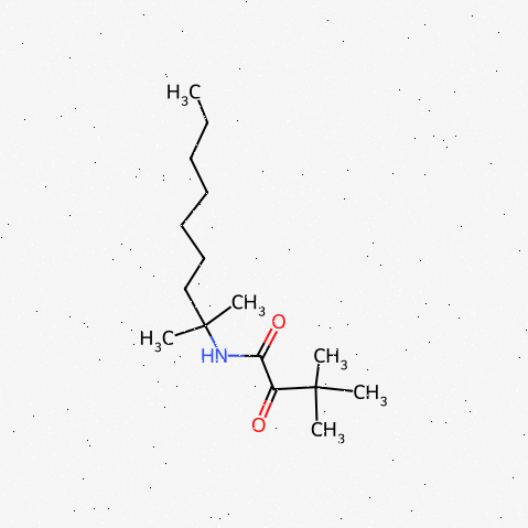 CCCCCCCC(C)(C)NC(=O)C(=O)C(C)(C)C